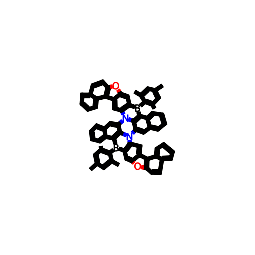 Cc1cc(C)c(B2c3cc4oc5ccc6ccccc6c5c4cc3N3c4cc5ccccc5c5c4N(c4cc6c(cc4B5c4c(C)cc(C)cc4C)oc4ccc5ccccc5c46)c4cc5ccccc5c2c43)c(C)c1